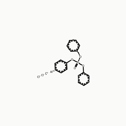 O=P(Oc1ccccc1)(Oc1ccccc1)Oc1ccccc1.[Al+3].[Cl-].[Cl-].[Cl-]